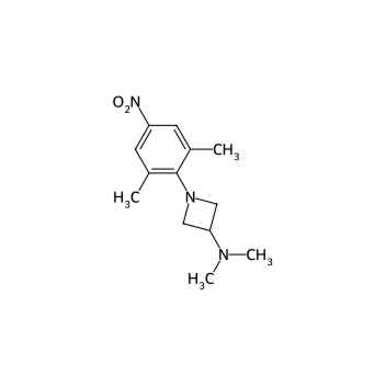 Cc1cc([N+](=O)[O-])cc(C)c1N1CC(N(C)C)C1